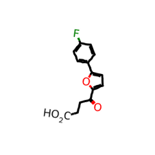 O=C(O)CCC(=O)c1ccc(-c2ccc(F)cc2)o1